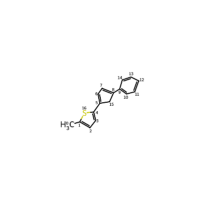 Cc1ccc(C2=CC=C(c3ccccc3)C2)s1